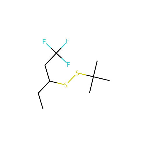 CCC(CC(F)(F)F)SSC(C)(C)C